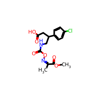 COC(=O)C(C)=NOC(=O)NCC(CC(=O)O)c1ccc(Cl)cc1